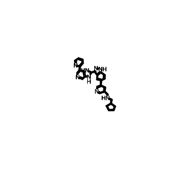 c1ccc(-c2cncc3c2NC(c2n[nH]c4ccc(-c5cncc(CNCC6CCCC6)c5)cc24)N3)nc1